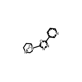 c1cncc(-c2nnc(N3CCN4CCC3CC4)o2)c1